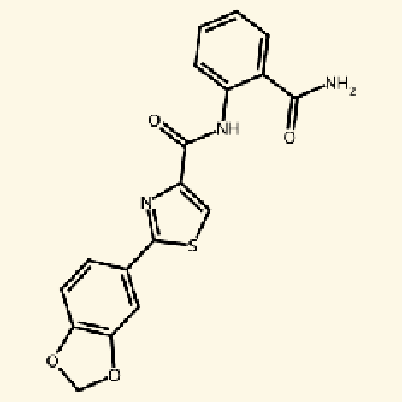 NC(=O)c1ccccc1NC(=O)c1csc(-c2ccc3c(c2)OCO3)n1